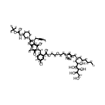 CC#CCn1c(N2CCC[C@@H](NC(=O)OC(C)(C)C)C2)nc2c1c(=O)n(Cc1ccc(Cl)cc1C(=O)OCCOCCn1cc(CN(CCCCCC)C[C@H](O)[C@@H](O)[C@H](O)[C@H](O)CO)nn1)c(=O)n2C